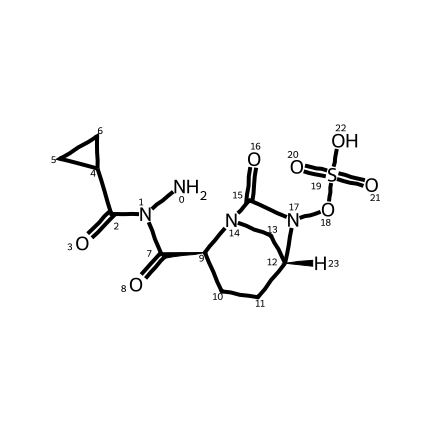 NN(C(=O)C1CC1)C(=O)[C@@H]1CC[C@@H]2CN1C(=O)N2OS(=O)(=O)O